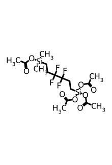 CC(=O)O[Si](C)(C)CCC(F)(F)C(F)(F)CC[Si](OC(C)=O)(OC(C)=O)OC(C)=O